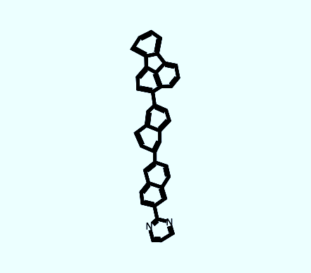 c1cnc(-c2ccc3cc(-c4ccc5cc(-c6ccc7c8c(cccc68)-c6ccccc6-7)ccc5c4)ccc3c2)nc1